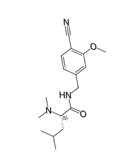 COc1cc(CNC(=O)[C@H](CC(C)C)N(C)C)ccc1C#N